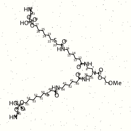 COCCOC(=O)N(CCNC(=O)CCCCCNC(=O)CSCCCCCCOP(=O)(O)OP=N)CCNC(=O)CCCCCNC(=O)CSCCCCCCOP(=O)(O)OP=N